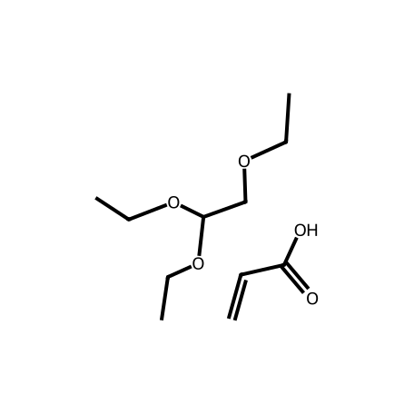 C=CC(=O)O.CCOCC(OCC)OCC